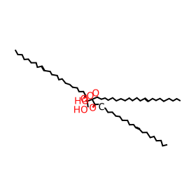 CCCCCCCCC=CCCCCCCCCCCCC(=O)OC(C(=O)CCCCCCCCCCCC=CCCCCCCCC)(C(=O)CCCCCCCCCCCC=CCCCCCCCC)C(O)CO